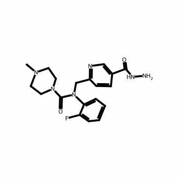 CN1CCN(C(=O)N(Cc2ccc(C(=O)NN)cn2)c2ccccc2F)CC1